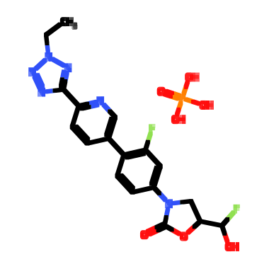 CCn1nnc(-c2ccc(-c3ccc(N4CC(C(O)F)OC4=O)cc3F)cn2)n1.O=P(O)(O)O